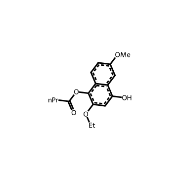 CCCC(=O)Oc1c(OCC)cc(O)c2cc(OC)ccc12